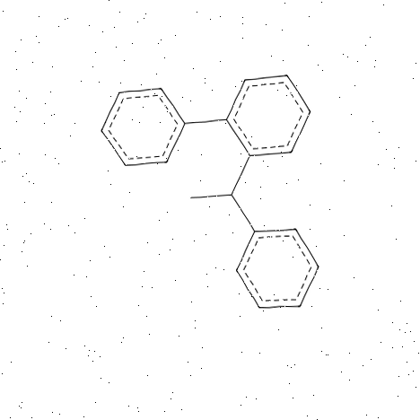 CC(c1ccccc1)c1ccccc1-c1ccccc1